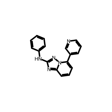 c1ccc(Nc2nc3cccc(-c4cccnc4)n3n2)cc1